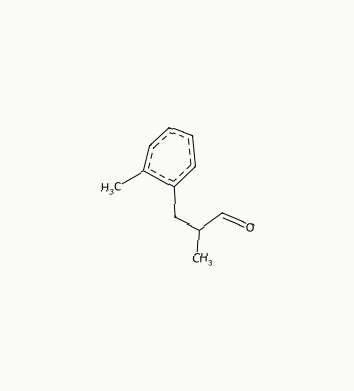 Cc1ccccc1CC(C)C=O